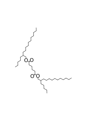 CCCCCCCCCCCC(CCCCC)COC(=O)CCCCC(=O)OCC(CCCCC)CCCCCCCCCCC